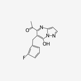 CC(=O)c1nc2ccnn2c(O)c1Cc1cccc(F)c1